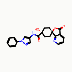 O=C1O[C@]2(CC[C@](O)(C(=O)Nc3cnn(-c4ccccc4)c3)CC2)c2ncccc21